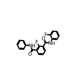 O=C(Nc1ccccc1)c1cccc(C(=O)Nc2ccccc2F)c1F